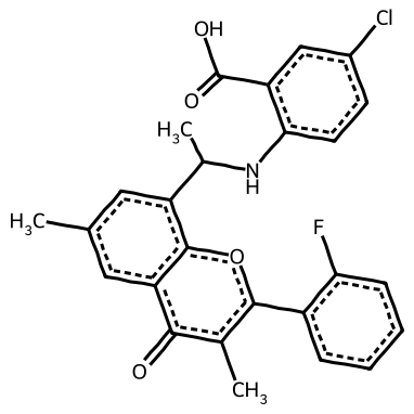 Cc1cc(C(C)Nc2ccc(Cl)cc2C(=O)O)c2oc(-c3ccccc3F)c(C)c(=O)c2c1